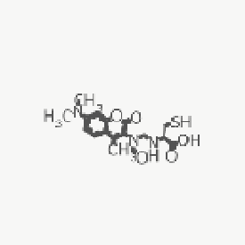 Cc1c(N(C=O)CN[C@@H](CS)C(=O)O)c(=O)oc2cc(N(C)C)ccc12